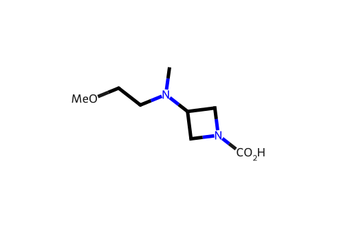 COCCN(C)C1CN(C(=O)O)C1